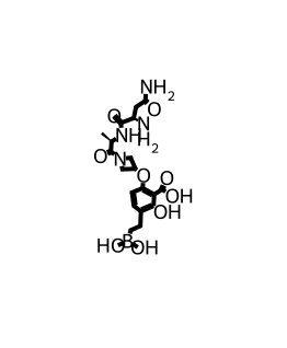 C[C@@H](NC(=O)[C@H](N)CC(N)=O)C(=O)N1CC(Oc2ccc(CCB(O)O)c(O)c2C(=O)O)C1